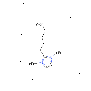 CCCCCCCCCCCCCc1n(CCC)cc[n+]1CCC